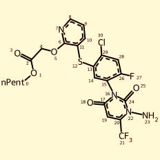 CCCCCOC(=O)COc1ncccc1Sc1cc(-n2c(=O)cc(C(F)(F)F)n(N)c2=O)c(F)cc1Cl